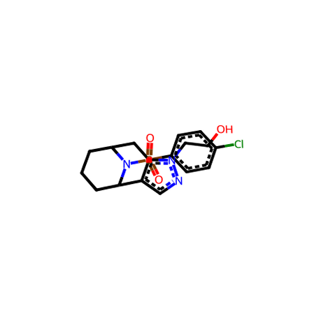 O=S(=O)(c1ccc(Cl)cc1)N1C2CCCC1c1cnn(CCO)c1C2